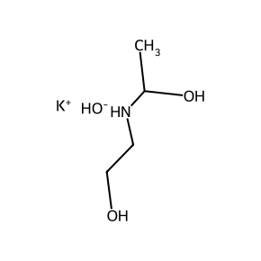 CC(O)NCCO.[K+].[OH-]